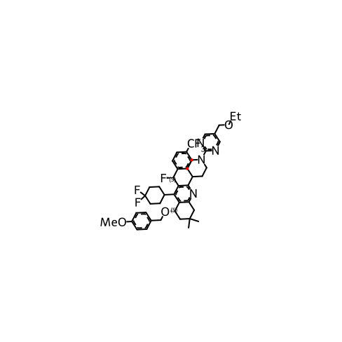 CCOCc1cnc(N2CCC(c3nc4c(c(C5CCC(F)(F)CC5)c3[C@@H](F)c3ccc(C(F)(F)F)cc3)[C@@H](OCc3ccc(OC)cc3)CC(C)(C)C4)CC2)nc1